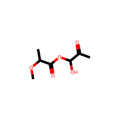 COC(C)C(=O)OC(O)C(C)=O